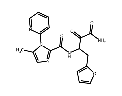 Cc1cnc(C(=O)NC(Cc2ccco2)C(=O)C(N)=O)n1-c1ccccn1